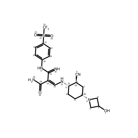 N#C[C@H]1C[C@H](N2CC(O)C2)CC[C@@H]1N/C=C(\C(=N)Nc1ccc(S(=O)(=O)C(F)(F)F)cc1)C(N)=O